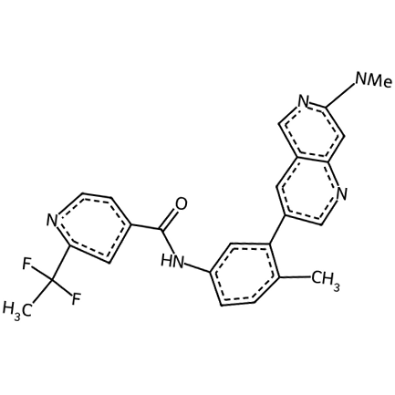 CNc1cc2ncc(-c3cc(NC(=O)c4ccnc(C(C)(F)F)c4)ccc3C)cc2cn1